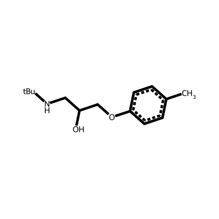 Cc1ccc(OCC(O)CNC(C)(C)C)cc1